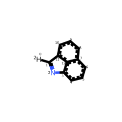 [2H]C1=Nc2cccc3cccc1c23